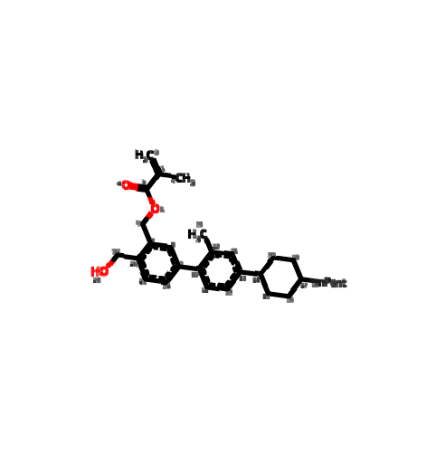 C=C(C)C(=O)OCc1cc(-c2ccc(C3CCC(CCCCC)CC3)cc2C)ccc1CO